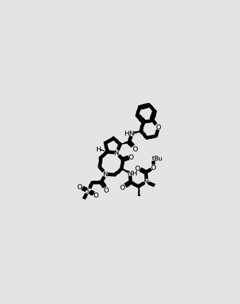 C[C@@H](C(=O)N[C@H]1CN(C(=O)CS(C)(=O)=O)CC[C@H]2CC[C@@H](C(=O)N[C@@H]3CCOc4ccccc43)N2C1=O)N(C)C(=O)OC(C)(C)C